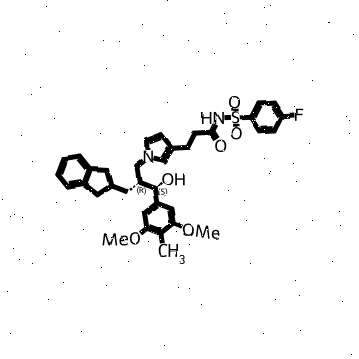 COc1cc([C@@H](O)[C@H](CC2Cc3ccccc3C2)Cn2ccc(CCC(=O)NS(=O)(=O)c3ccc(F)cc3)c2)cc(OC)c1C